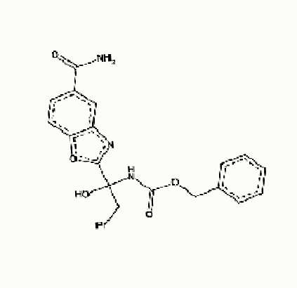 CC(C)CC(O)(NC(=O)OCc1ccccc1)c1nc2cc(C(N)=O)ccc2o1